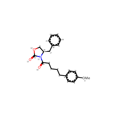 COc1ccc(CCCCC(=O)N2C(=O)OC[C@H]2Cc2ccccc2)cc1